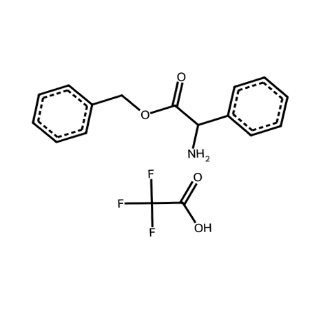 NC(C(=O)OCc1ccccc1)c1ccccc1.O=C(O)C(F)(F)F